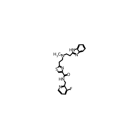 CN(CCc1nc2ccccc2[nH]1)CCc1nc(C(=O)NCc2ncccc2F)cs1